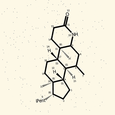 CCCC(C)[C@H]1CC[C@H]2[C@@H]3C(C)CC4NC(=O)CC[C@]4(C)[C@H]3CC[C@]12C